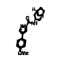 COc1ccc(-c2cnn(C(=O)N[C@@H]3C[C@H]4CCN(C4)C3)c2)cc1